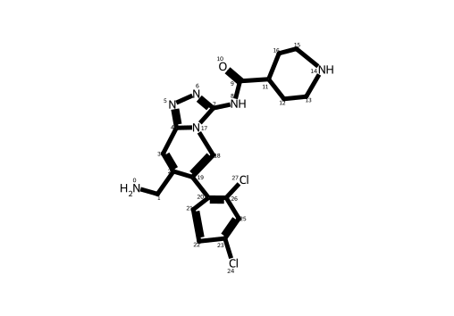 NCc1cc2nnc(NC(=O)C3CCNCC3)n2cc1-c1ccc(Cl)cc1Cl